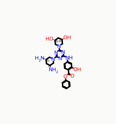 N[C@@H]1C[C@H](N)CN(c2nc(Nc3ccc(C(=O)Oc4ccccc4)c(O)c3)nc(N3C[C@H](O)C[C@@H](O)C3)n2)C1